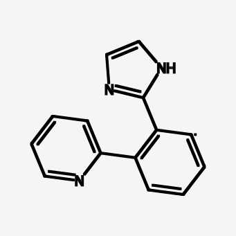 [c]1cccc(-c2ccccn2)c1-c1ncc[nH]1